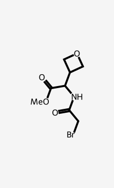 COC(=O)C(NC(=O)CBr)C1COC1